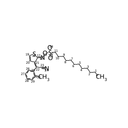 CCCCCCCCCCCCS(=O)(=O)O/N=C1\SC=C\C1=C(\C#N)c1ccccc1C